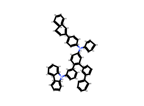 c1ccc(-c2cccc(-c3cc(N(c4ccccc4)c4ccc(-c5ccc6ccccc6c5)cc4)ccc3-c3cccc(-n4c5ccccc5c5ccccc54)c3)c2)cc1